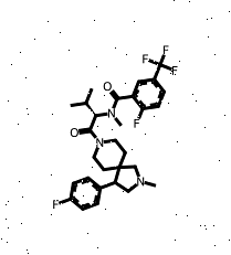 CC(C)[C@H](C(=O)N1CCC2(CC1)CN(C)CC2c1ccc(F)cc1)N(C)C(=O)c1cc(C(F)(F)F)ccc1F